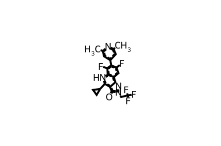 Cc1cc(-c2c(F)cc3c4nn(CC(F)(F)F)c(=O)c-4c(C4CC4)[nH]c3c2F)cc(C)n1